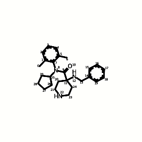 Cc1cccc(C)c1N(C(=O)C1(NCc2ccccc2)CCNCC1)C1CCCC1